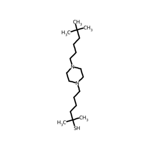 CC(C)(C)CCCCN1CCN(CCCCC(C)(C)S)CC1